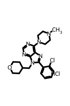 CN1CCN(c2ncnc3c2nc(-c2ccccc2Cl)n3CC2CCOCC2)CC1.Cl